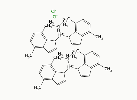 Cc1ccc(C)c2c1C=C[CH]2[Hf+]([CH]1C=Cc2c(C)ccc(C)c21)[SiH](C)C.Cc1ccc(C)c2c1C=C[CH]2[Hf+]([CH]1C=Cc2c(C)ccc(C)c21)[SiH](C)C.[Cl-].[Cl-]